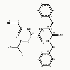 CC(C)(C)OC(=O)N[C@@H](COC(F)F)C(=O)N[C@@H](Cc1ccccc1)C(=O)OCc1ccccc1